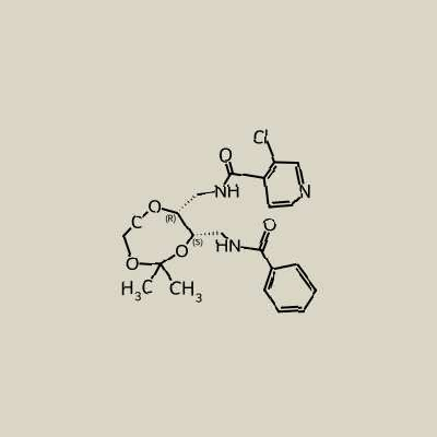 CC1(C)OCCO[C@H](CNC(=O)c2ccncc2Cl)[C@H](CNC(=O)c2ccccc2)O1